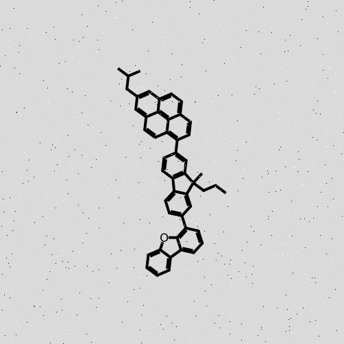 CCCC1(C)c2cc(-c3ccc4ccc5cc(CC(C)C)cc6ccc3c4c56)ccc2-c2ccc(-c3cccc4c3oc3ccccc34)cc21